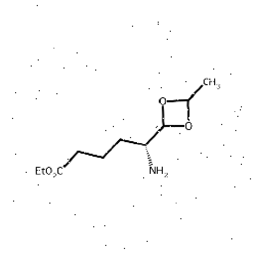 CCOC(=O)CCC[C@@H](N)C1OC(C)O1